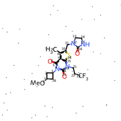 CO[C@H]1C[C@@H](n2c(=O)c3c(C)c(CN4CCNC4=O)sc3n(CCC(F)(F)F)c2=O)C1